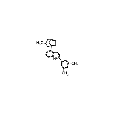 Cc1cc(C)cc(-c2ccc3c(C45CC=C(CC(C)C4)C5)cccc3n2)c1